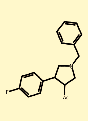 CC(=O)C1CN(Cc2ccccc2)CC1c1ccc(F)cc1